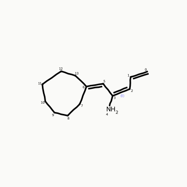 C=C/C=C(/N)C=C1CCCCCCC1